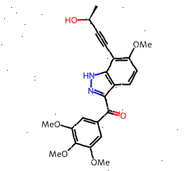 COc1cc(C(=O)c2n[nH]c3c(C#C[C@H](C)O)c(OC)ccc23)cc(OC)c1OC